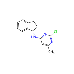 Cc1cc(N[C@H]2CCc3ccccc32)nc(Cl)n1